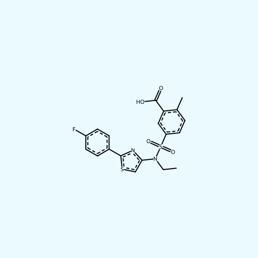 CCN(c1csc(-c2ccc(F)cc2)n1)S(=O)(=O)c1ccc(C)c(C(=O)O)c1